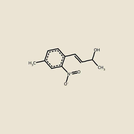 Cc1ccc(C=CC(C)O)c([N+](=O)[O-])c1